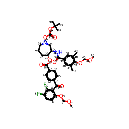 COCOc1ccc(F)c(F)c1C(=O)c1ccc(C(=O)O[C@@H]2CCCN(OC(=O)OC(C)(C)C)C[C@H]2NC(=O)c2cc(C)c(OCOC)c(C)c2)cc1